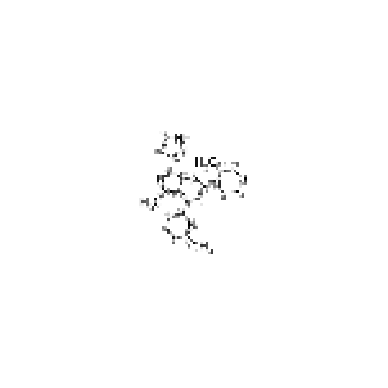 Cc1cccc(-c2cc(N3CCOC[C@H]3C)nc3c(-c4cc[nH]n4)nn(C)c23)n1